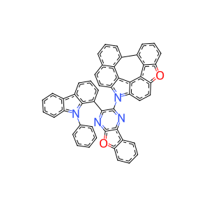 c1ccc(-n2c3ccccc3c3cccc(-c4nc5oc6ccccc6c5nc4-n4c5ccc6cccc7c6c5c5c6c(ccc54)oc4cccc-7c46)c32)cc1